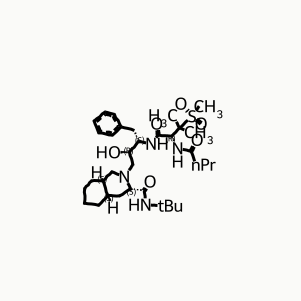 CCCC(=O)N[C@H](C(=O)N[C@@H](Cc1ccccc1)[C@H](O)CN1C[C@H]2CCCC[C@H]2C[C@H]1C(=O)NC(C)(C)C)C(C)(C)S(C)(=O)=O